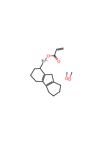 C=CC(=O)[O][Ti+2][CH]1CCCC2=C1CC1=C2CCCC1.C[O-].C[O-]